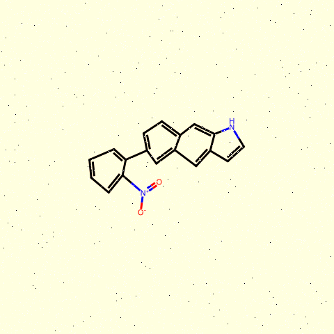 O=[N+]([O-])c1ccccc1-c1ccc2cc3[nH]ccc3cc2c1